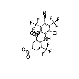 N#Cc1c(C(F)(F)F)c(Cl)c(Nc2c([N+](=O)[O-])cc([N+](=O)[O-])cc2C(F)(F)F)c(Cl)c1C(F)(F)F